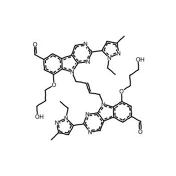 CCn1nc(C)cc1-c1ncc2c3cc(C=O)cc(OCCCO)c3n(C/C=C/Cn3c4nc(-c5cc(C)nn5CC)ncc4c4cc(C=O)cc(OCCCO)c43)c2n1